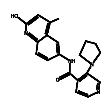 Cc1cc(O)nc2ccc(NC(=O)c3ccncc3N3CCCC3)cc12